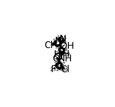 O=C(N[C@H]1[C@@H]2C[C@](O)(c3cc(Cl)cn4cncc34)C[C@@H]21)c1cc(F)cc(Cl)c1